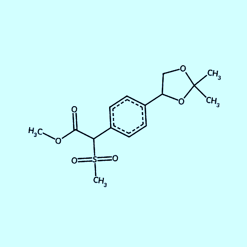 COC(=O)C(c1ccc(C2COC(C)(C)O2)cc1)S(C)(=O)=O